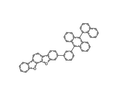 c1cc(-c2ccc3c(c2)oc2c3ccc3c4ccccc4oc32)cc(-c2c3ccccc3c(-c3cccc4ccccc34)c3ccccc23)c1